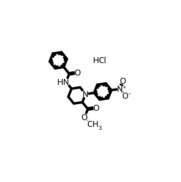 COC(=O)C1CCC(NC(=O)c2ccccc2)CN1c1ccc([N+](=O)[O-])cc1.Cl